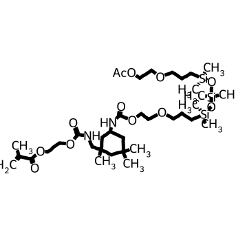 C=C(C)C(=O)OCCOC(=O)NCC1(C)CC(NC(=O)OCCOCCC[Si](C)(C)O[Si](C)(C)O[Si](C)(C)CCCOCCOC(C)=O)CC(C)(C)C1